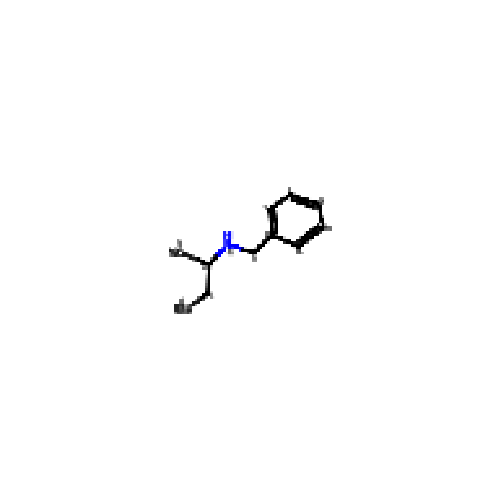 CC(C)(C)CC(C#N)NCc1ccccc1